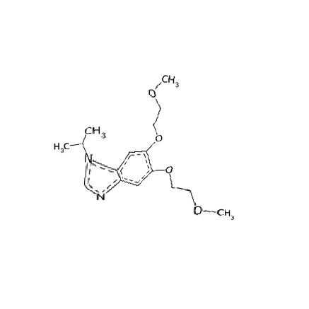 COCCOc1cc2ncn(C(C)C)c2cc1OCCOC